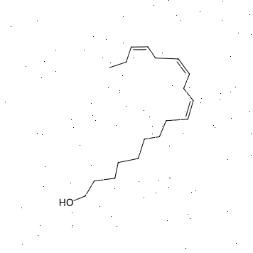 CC/C=C\C/C=C\C/C=C\CCCCCCCCO